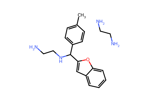 Cc1ccc(C(NCCN)c2cc3ccccc3o2)cc1.NCCN